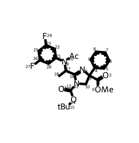 COC(=O)C1(c2ccccc2)CN(C(=O)OC(C)(C)C)C(C(C)N(C(C)=O)c2cc(F)cc(F)c2)=N1